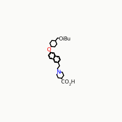 CC(C)COCC1CCC(Oc2ccc3cc(CCN4CCC(C(=O)O)CC4)ccc3c2)CC1